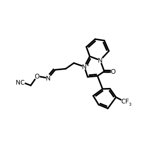 N#CCON=CCC[n+]1cc(-c2cccc(C(F)(F)F)c2)c(=O)n2ccccc21